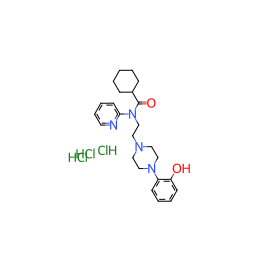 Cl.Cl.Cl.O=C(C1CCCCC1)N(CCN1CCN(c2ccccc2O)CC1)c1ccccn1